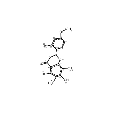 COc1ccc([C@@H]2CC(=O)c3c(O)c(C)c(O)c(C)c3O2)c(O)c1